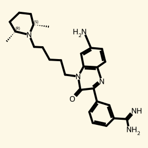 C[C@@H]1CCC[C@H](C)N1CCCCCn1c(=O)c(-c2cccc(C(=N)N)c2)nc2ccc(N)cc21